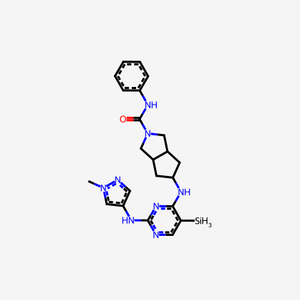 Cn1cc(Nc2ncc([SiH3])c(NC3CC4CN(C(=O)Nc5ccccc5)CC4C3)n2)cn1